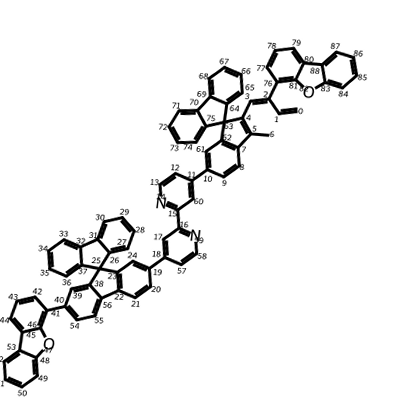 C=C/C(=C\C1=C(C)c2ccc(-c3ccnc(-c4cc(-c5ccc6c(c5)C5(c7ccccc7-c7ccccc75)c5cc(-c7cccc8c7oc7ccccc78)ccc5-6)ccn4)c3)cc2C12c1ccccc1-c1ccccc12)c1cccc2c1oc1ccccc12